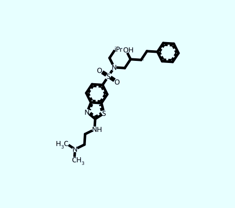 CC(C)CN(CC(O)[CH]Cc1ccccc1)S(=O)(=O)c1ccc2nc(NCCN(C)C)sc2c1